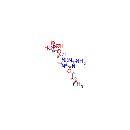 COCCOc1nc(N)nc2c1ncn2CCOCP(=O)(O)O